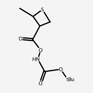 CC1SCC1C(=O)ONC(=O)OC(C)(C)C